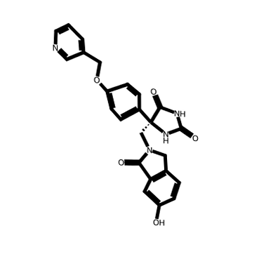 O=C1NC(=O)[C@](CN2Cc3ccc(O)cc3C2=O)(c2ccc(OCc3cccnc3)cc2)N1